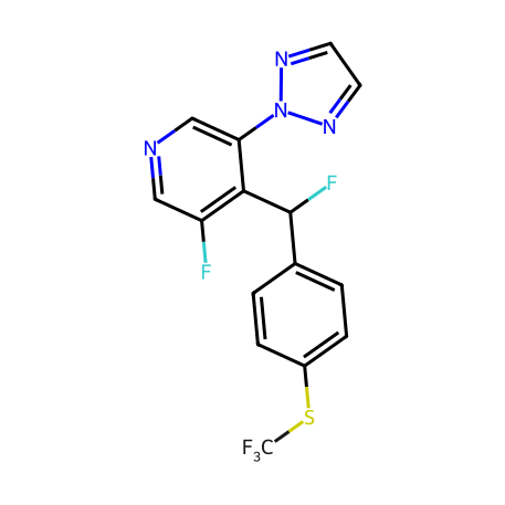 Fc1cncc(-n2nccn2)c1C(F)c1ccc(SC(F)(F)F)cc1